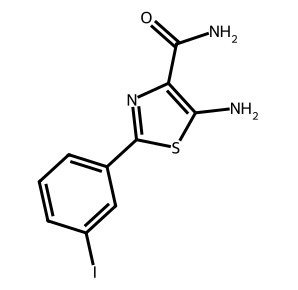 NC(=O)c1nc(-c2cccc(I)c2)sc1N